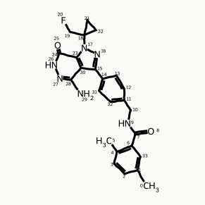 Cc1ccc(C)c(C(=O)NCc2ccc(-c3nn(C4(CF)CC4)c4c(=O)[nH]nc(N)c34)cc2)c1